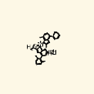 CC1=Cc2c(-c3ccccc3)ccc(C)c2[CH]1[Zr]([CH3])([CH3])(=[SiH2])[CH]1C(C(C)C)=Cc2c(-c3c(C)cccc3C)cccc21.Cl.Cl